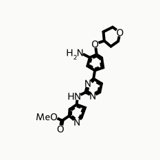 COC(=O)c1cc(Nc2nccc(-c3ccc(OC4CCOCC4)c(N)c3)n2)ccn1